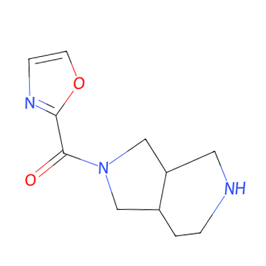 O=C(c1ncco1)N1CC2CCNCC2C1